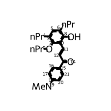 CCCOc1c(CCC)cc(CCC)c(O)c1/C=C/C(=O)c1ccc(NC)cc1